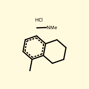 CNC.Cc1cccc2c1CCCC2.Cl